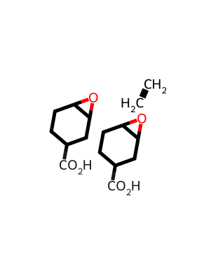 C=C.O=C(O)C1CCC2OC2C1.O=C(O)C1CCC2OC2C1